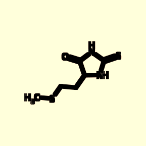 CSCCC1NC(=S)NC1=O